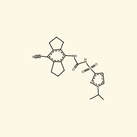 CC(C)n1ccc(S(=O)(=O)NC(=O)Nc2c3c(c(C#N)c4c2CCC4)CCC3)n1